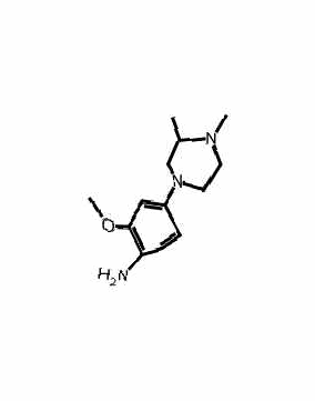 COc1cc(N2CCN(C)C(C)C2)ccc1N